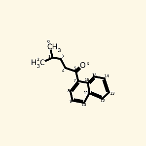 CC(C)CCC(=O)c1cccc2ccccc12